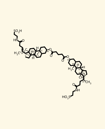 C[C@H](CCC(=O)NCCS(=O)(=O)O)[C@H]1CC[C@H]2[C@@H]3CCC4C[C@H](OC(=O)CCCC(=O)O[C@H]5CC[C@]6(C)C(CC[C@@H]7[C@H]8CC[C@@H]([C@@H](C)CCC(=O)NCCS(=O)(=O)O)[C@]8(C)CC[C@H]76)C5)CC[C@]4(C)[C@H]3CC[C@]12C